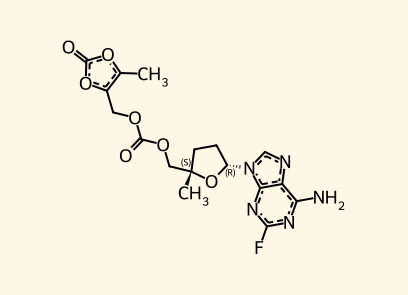 Cc1oc(=O)oc1COC(=O)OC[C@]1(C)CC[C@H](n2cnc3c(N)nc(F)nc32)O1